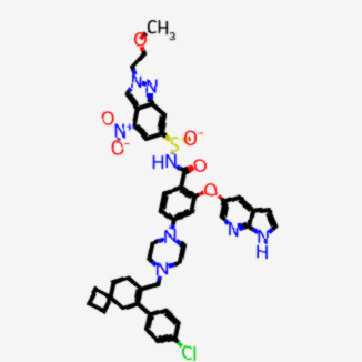 COCCn1cc2c([N+](=O)[O-])cc([S+]([O-])NC(=O)c3ccc(N4CCN(CC5=C(c6ccc(Cl)cc6)CC6(CCC6)CC5)CC4)cc3Oc3cnc4[nH]ccc4c3)cc2n1